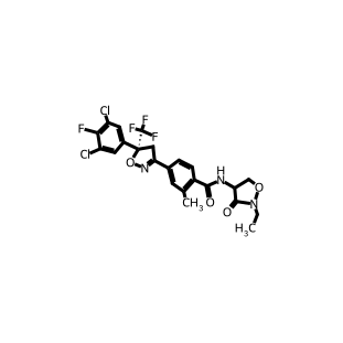 CCN1OCC(NC(=O)c2ccc(C3=NO[C@](c4cc(Cl)c(F)c(Cl)c4)(C(F)(F)F)C3)cc2C)C1=O